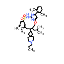 C#C/C=C1\C=C(/C)CC(C2CC3(CCN(CCC)CC3)C2)C(CC(C)C)COc2cc(C3=C(C)CCC=C3C)nc(n2)NS1(=O)=O